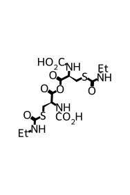 CCNC(=O)SC[C@H](NC(=O)O)C(=O)OC(=O)[C@H](CSC(=O)NCC)NC(=O)O